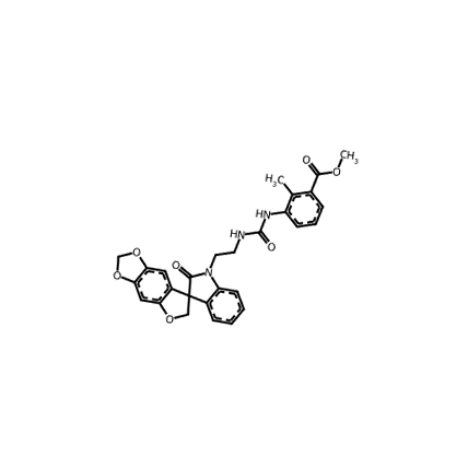 COC(=O)c1cccc(NC(=O)NCCN2C(=O)C3(COc4cc5c(cc43)OCO5)c3ccccc32)c1C